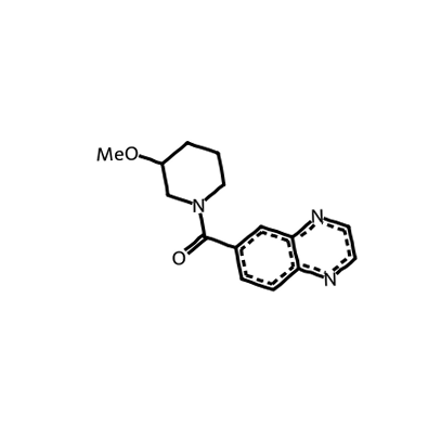 COC1CCCN(C(=O)c2ccc3nccnc3c2)C1